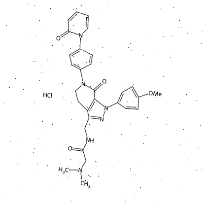 COc1ccc(-n2nc(CNC(=O)CN(C)C)c3c2C(=O)N(c2ccc(-n4ccccc4=O)cc2)CC3)cc1.Cl